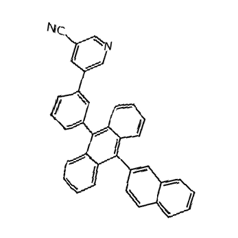 N#Cc1cncc(-c2cccc(-c3c4ccccc4c(-c4ccc5ccccc5c4)c4ccccc34)c2)c1